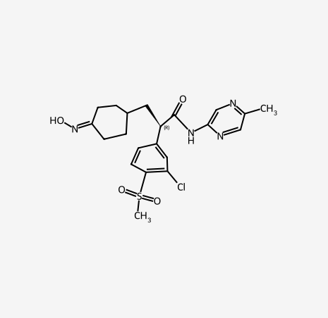 Cc1cnc(NC(=O)[C@H](CC2CCC(=NO)CC2)c2ccc(S(C)(=O)=O)c(Cl)c2)cn1